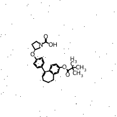 CC(C)(C)C(=O)Oc1ccc2c(c1)CCCC=C2c1ccc(O[C@H]2CCN(C(=O)O)C2)cc1